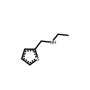 [CH2]CNCc1cccs1